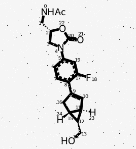 CC(=O)NC[C@H]1CN(c2ccc(C3=C[C@H]4[C@@H](CO)[C@@H]4C3)c(F)c2)C(=O)O1